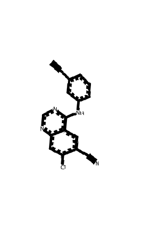 C#Cc1cccc(Nc2ncnc3cc(Cl)c(C#N)cc23)c1